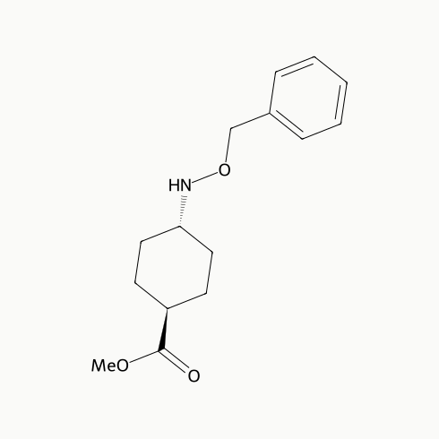 COC(=O)[C@H]1CC[C@H](NOCc2ccccc2)CC1